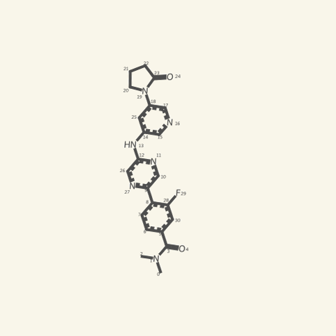 CN(C)C(=O)c1ccc(-c2cnc(Nc3cncc(N4CCCC4=O)c3)cn2)c(F)c1